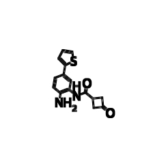 Nc1ccc(-c2cccs2)cc1NC(=O)C1CC(=O)C1